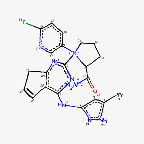 CC(C)c1cc(Nc2nc([N+]3(c4ccc(F)nc4)CCCC3C(N)=O)nc3c2C=CC3)n[nH]1